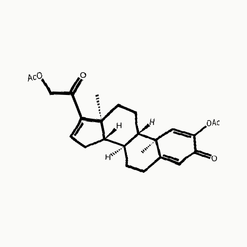 CC(=O)OCC(=O)C1=CC[C@H]2[C@@H]3CCC4=CC(=O)C(OC(C)=O)=C[C@]4(C)[C@H]3CC[C@]12C